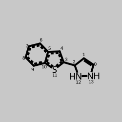 C1=CC(c2cc3ccccc3s2)NN1